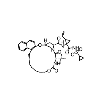 C=CC1C[C@]1(NC(=O)[C@@H]1C[C@@H]2CN1C(=O)[C@H](C(C)(C)C)NC(=O)OCCCCC/C=C/c1c(ccc3ccccc13)O2)C(=O)NS(=O)(=O)C1CC1